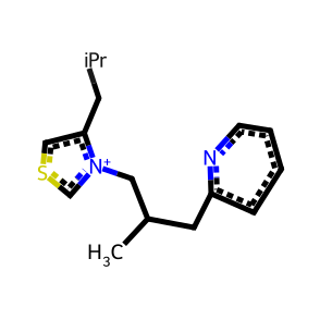 CC(C)Cc1csc[n+]1CC(C)Cc1ccccn1